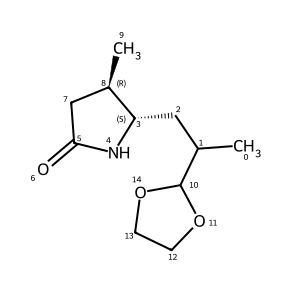 CC(C[C@@H]1NC(=O)C[C@H]1C)C1OCCO1